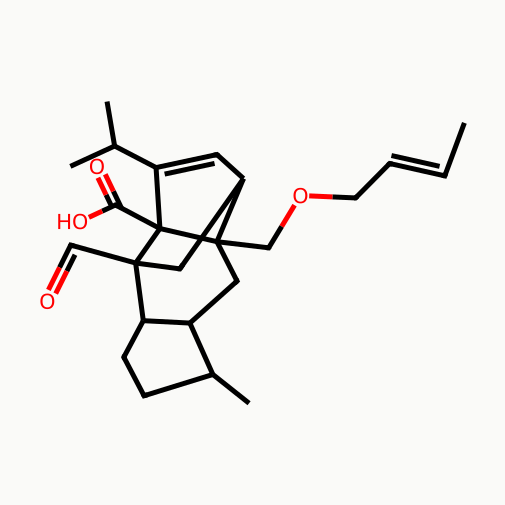 CC=CCOCC12CC3C(C)CCC3C3(C=O)CC1C=C(C(C)C)C32C(=O)O